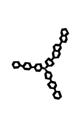 c1ccc(-c2ccc(-c3ccc(N(c4ccc(-c5ccc(-c6ccccc6)cc5)cc4)c4ccc(-c5ccc6cc(-c7ccc8ccccc8c7)ccc6c5)cc4)cc3)cc2)cc1